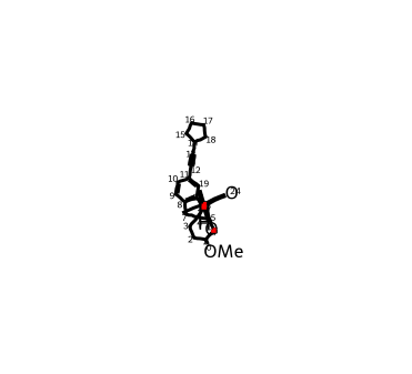 COC1CCC2(CC1)Cc1ccc(C#CC3CCCC3)cc1C21NC(=O)NC1=O